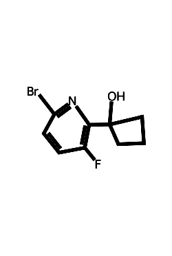 OC1(c2nc(Br)ccc2F)CCC1